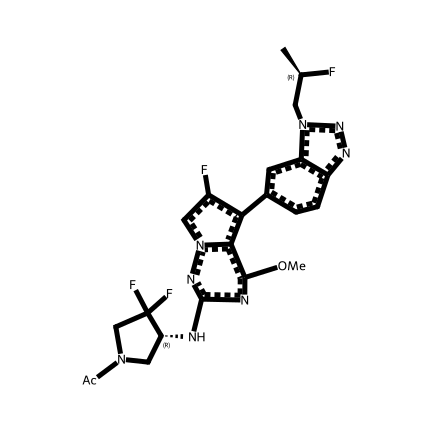 COc1nc(N[C@@H]2CN(C(C)=O)CC2(F)F)nn2cc(F)c(-c3ccc4nnn(C[C@@H](C)F)c4c3)c12